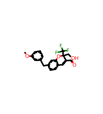 CCC1(C(F)(F)F)Oc2cc(Cc3cccc(OC)c3)ccc2C=C1C(=O)O